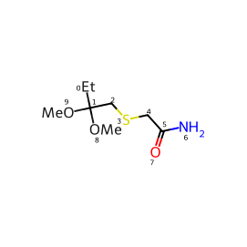 CCC(CSCC(N)=O)(OC)OC